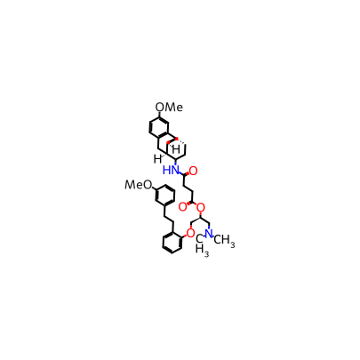 COc1cccc(CCc2ccccc2OC[C@H](CN(C)C)OC(=O)CCC(=O)NC2CC[C@@]34CCCC[C@@H]3[C@@H]2Cc2ccc(OC)cc24)c1